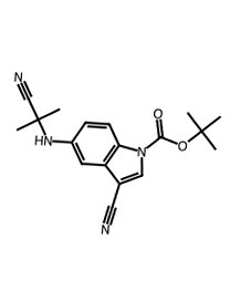 CC(C)(C#N)Nc1ccc2c(c1)c(C#N)cn2C(=O)OC(C)(C)C